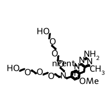 CCCCCNc1nc(N)nc(C)c1Cc1ccc(CN(CCOCCOCCOCCO)CCOCCOCCOCCO)cc1OC